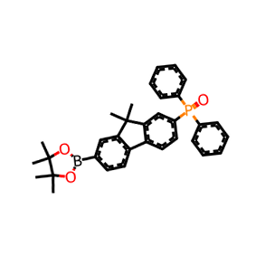 CC1(C)c2cc(B3OC(C)(C)C(C)(C)O3)ccc2-c2ccc(P(=O)(c3ccccc3)c3ccccc3)cc21